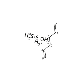 C=CCCC=C.O.S.S